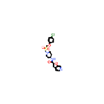 O=C(NC1CCN(CS(=O)(=O)COc2ccc(Cl)cc2)CC1)C1Cc2ccncc2O1